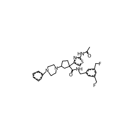 CC(=O)Nc1nc(C2(C(=O)NCc3cc(CF)cc(CF)c3)CCC(N3CCN(c4ccccc4)CC3)C2)cs1